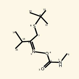 CNC(=O)ON=C(CSC(C)(C)C)C(C)C